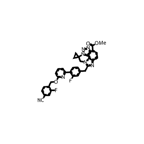 COC(=O)c1ccc2nc(Cc3ccc(-c4cccc(OCc5ccc(C#N)cc5F)n4)c(F)c3)n(CC3(n4ccnn4)CC3)c2c1